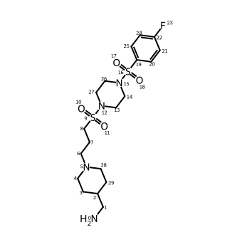 NCC1CCN(CCCS(=O)(=O)N2CCN(S(=O)(=O)c3ccc(F)cc3)CC2)CC1